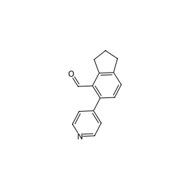 O=Cc1c(-c2ccncc2)ccc2c1CCC2